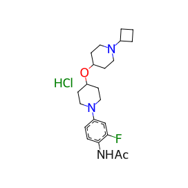 CC(=O)Nc1ccc(N2CCC(OC3CCN(C4CCC4)CC3)CC2)cc1F.Cl